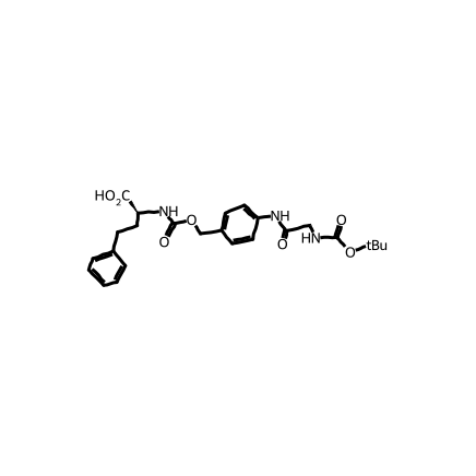 CC(C)(C)OC(=O)NCC(=O)Nc1ccc(COC(=O)N[C@@H](CCc2ccccc2)C(=O)O)cc1